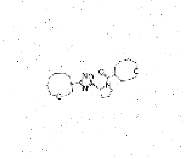 O=C(C1CCCCCCCC1)N1CCC[C@H]1c1nc(C2CCCCCCCCC2)no1